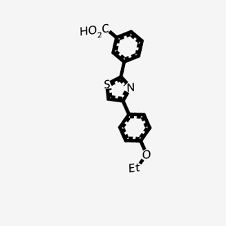 CCOc1ccc(-c2csc(-c3cccc(C(=O)O)c3)n2)cc1